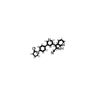 N#Cc1[nH]c2ncccc2c1-c1cncc(-c2ccc(N3CCCC3=O)cc2)c1